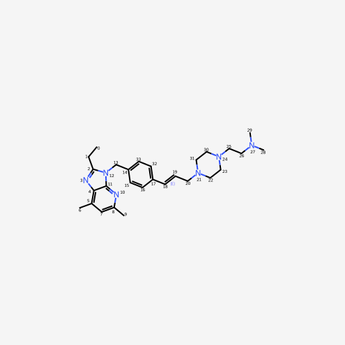 CCc1nc2c(C)cc(C)nc2n1Cc1ccc(/C=C/CN2CCN(CCN(C)C)CC2)cc1